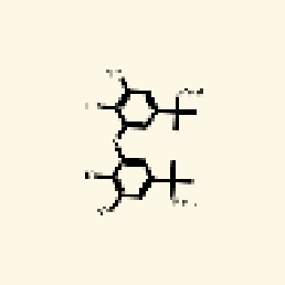 CCCCCC(C)(C)c1cc(CCC)c(O)c(Sc2cc(C(C)(C)CCCCC)cc(CCC)c2O)c1